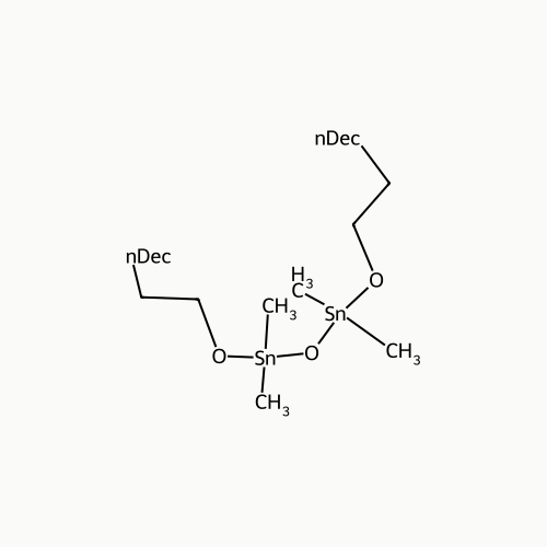 CCCCCCCCCCCC[O][Sn]([CH3])([CH3])[O][Sn]([CH3])([CH3])[O]CCCCCCCCCCCC